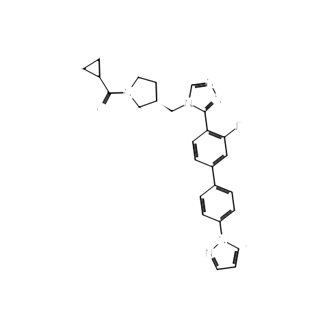 O=C(C1CC1)N1CC[C@@H](Cn2cnnc2-c2ccc(-c3ccc(-n4cccn4)cc3)cc2F)C1